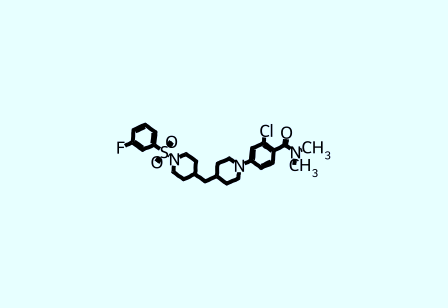 CN(C)C(=O)c1ccc(N2CCC(CC3CCN(S(=O)(=O)c4cccc(F)c4)CC3)CC2)cc1Cl